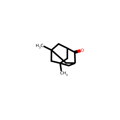 CC12CC3CC(C)(CC(C1)C3=O)C2